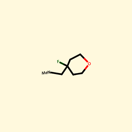 CNCC1(F)CCOCC1